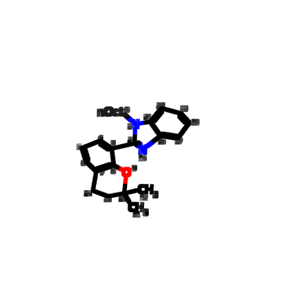 CCCCCCCCn1c(-c2cccc3c2OC(C)(C)CC3)nc2ccccc21